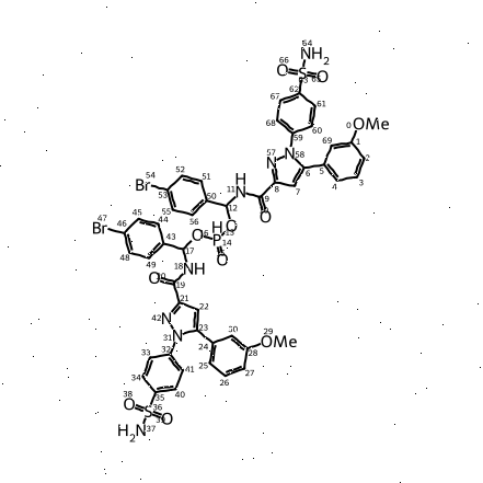 COc1cccc(-c2cc(C(=O)NC(O[PH](=O)OC(NC(=O)c3cc(-c4cccc(OC)c4)n(-c4ccc(S(N)(=O)=O)cc4)n3)c3ccc(Br)cc3)c3ccc(Br)cc3)nn2-c2ccc(S(N)(=O)=O)cc2)c1